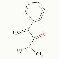 C=C(C(=O)C(C)C)c1ccccc1